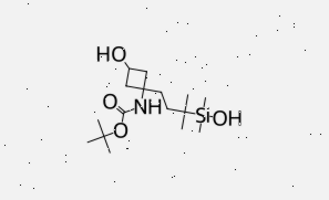 CC(C)(C)OC(=O)NC1(CCC(C)(C)[Si](C)(C)O)CC(O)C1